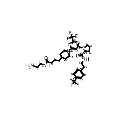 NCCNC(=O)CCCC1CCN(c2cc(N3CCC[C@H]3C(=O)NCCc3ccc(C(F)(F)F)cc3)nc(C(F)(F)F)n2)CC1